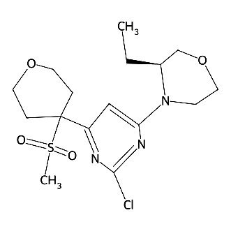 CC[C@H]1COCCN1c1cc(C2(S(C)(=O)=O)CCOCC2)nc(Cl)n1